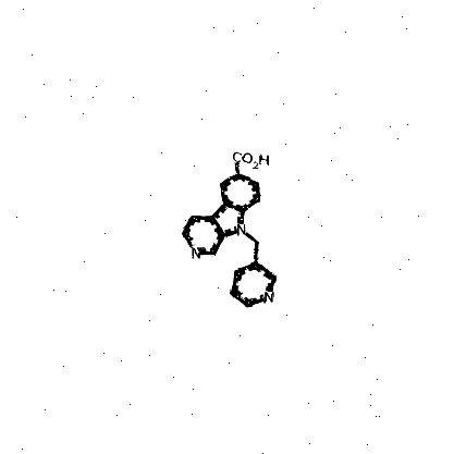 O=C(O)c1ccc2c(c1)c1ccncc1n2Cc1cccnc1